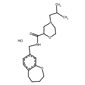 CC(C)CN1CCOC(C(=O)NCc2ccc3c(c2)OCCCC3)C1.Cl